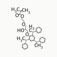 C=C(C)C(=O)OCCOCC(O)COc1c(C(C)c2ccccc2)cc(C(C)c2ccccc2)cc1C(C)c1ccccc1